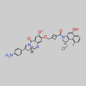 COc1cc2c(cc1OCC13CC(C(=O)N4C[C@@H](CCl)c5c4cc(O)c4cccc(C)c54)(C1)C3)N=C[C@@H]1CC(c3ccc(N)cc3)=CN1C2=O